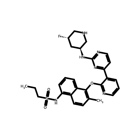 CCCS(=O)(=O)Nc1cccc2c(Oc3ncccc3-c3ccnc(N[C@@H]4CNC[C@@H](F)C4)n3)c(C)ccc12